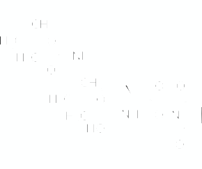 CC(C)(C)OC(=O)NCCCC[C@H](NC(O)OC(C)(C)C)C(=O)ON1C(=O)CCC1=O